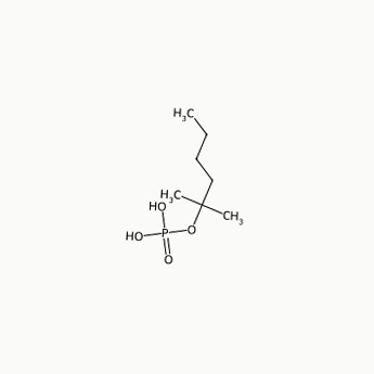 CCCCC(C)(C)OP(=O)(O)O